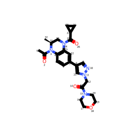 CC(=O)N1c2ccc(-c3cnn(CC(=O)N4CCOCC4)c3)cc2N(C(=O)C2CC2)C[C@@H]1C